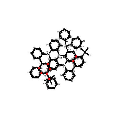 CC(C)(C)c1ccc(-c2ccccc2N2c3cc(N(c4ccccc4)c4ccccc4)cc4c3B3c5c2cccc5[Si](c2ccccc2)(c2ccccc2)c2cccc(c23)N4c2ccccc2-c2ccc(C(C)(C)C)cc2)cc1